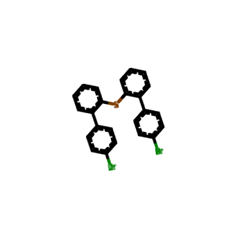 Brc1ccc(-c2ccccc2Sc2ccccc2-c2ccc(Br)cc2)cc1